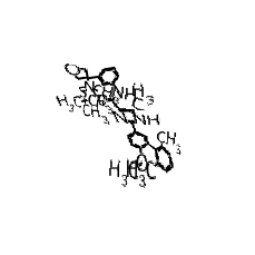 COc1ccc(-c2nc(C(=O)Nc3cccc(C4(N(C)SC(C)(C)C)COC4)c3)c(C)[nH]2)cc1-c1c(C)cccc1C